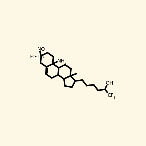 CC[C@]1(N=O)CCC2(N)C(=CCC3C2CCC2(C)C(CCCCC(O)C(F)(F)F)CCC32)C1